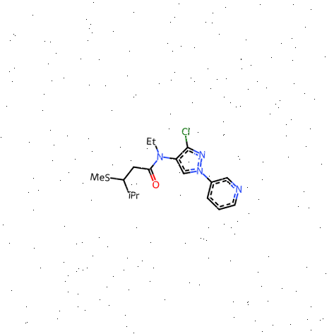 CCN(C(=O)CC(SC)C(C)C)c1cn(-c2cccnc2)nc1Cl